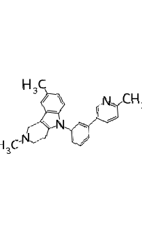 Cc1ccc2c(c1)c1c(n2-c2cccc(-c3ccc(C)nc3)c2)CCN(C)C1